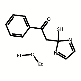 CCOCC.O=C(CC1(S)N=CC=N1)c1ccccc1